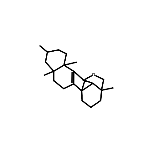 CC1CCC2(C)C3=C(CCC2(C)C1)C12CCCC(C)(COC1)C2CC3